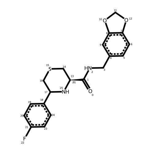 O=C(NCc1ccc2c(c1)OCO2)[C@@H]1CSCC(c2ccc(F)cc2)N1